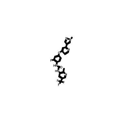 Cc1ncc(C(F)(F)F)cc1NC(=O)Nc1ccc(Oc2ccnc(-c3cnn(C)c3)c2)cc1F